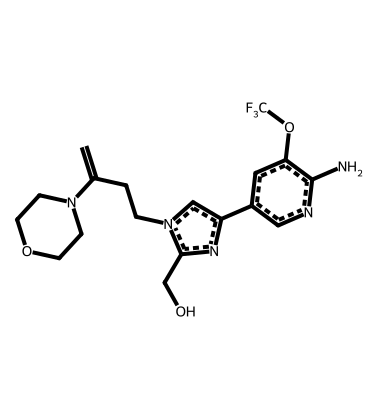 C=C(CCn1cc(-c2cnc(N)c(OC(F)(F)F)c2)nc1CO)N1CCOCC1